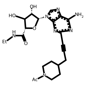 CCNC(=O)[C@H]1O[C@@H](n2cnc3c(N)nc(C#CCC4CCN(C(C)=O)CC4)nc32)[C@@H](O)C1O